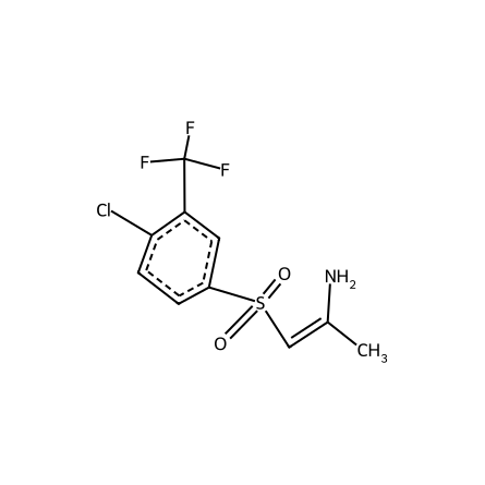 CC(N)=CS(=O)(=O)c1ccc(Cl)c(C(F)(F)F)c1